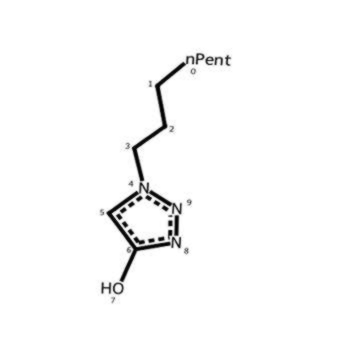 CCCCCCCCn1cc(O)nn1